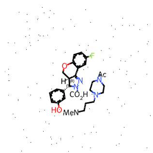 CNCCCN1CCN(C(C)=O)CC1.O=C(O)N1N=C2c3cc(F)ccc3OC[C@@H]2[C@H]1c1cccc(O)c1